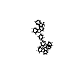 CC1(C)c2ccccc2-c2c1ccc1c2c2ccccc2n1-c1ccc(-c2nc(-c3ccccc3)c3c(n2)-c2ccccc2[Si]3(c2ccccc2)c2ccccc2)cc1